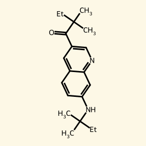 CCC(C)(C)Nc1ccc2cc(C(=O)C(C)(C)CC)cnc2c1